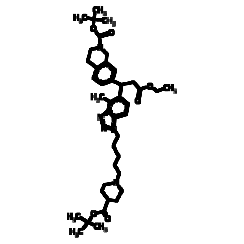 CCOC(=O)CC(c1ccc2c(c1)CN(C(=O)OC(C)(C)C)CC2)c1ccc2c(nnn2CCCCCN2CCC(C(=O)OC(C)(C)C)CC2)c1C